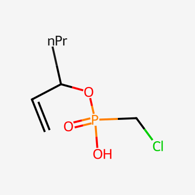 C=CC(CCC)OP(=O)(O)CCl